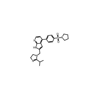 CC(C)C1=NCCN1Cc1cc2c(-c3ccc(S(=O)(=O)N4CCCC4)cc3)ccnc2[nH]1